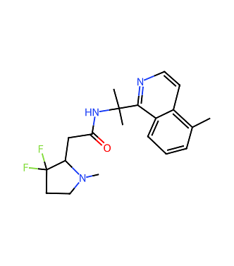 Cc1cccc2c(C(C)(C)NC(=O)CC3N(C)CCC3(F)F)nccc12